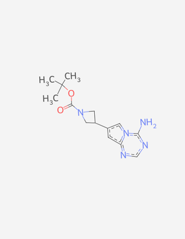 CC(C)(C)OC(=O)N1CC(c2cc3ncnc(N)n3c2)C1